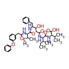 CCC(C)C(NC(=O)CC(O)C(Cc1ccccc1)NC(=O)C(NC(=O)Cc1cccc(Oc2ccccc2)c1)C(C)C)C(=O)NC(C(=O)O)C(C)C